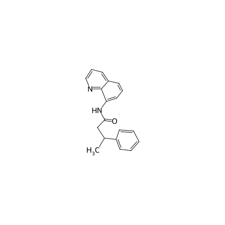 CC(CC(=O)Nc1cccc2cccnc12)c1ccccc1